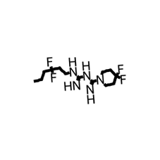 CCCC(F)(F)CCNC(=N)NC(=N)N1CCC(F)(F)CC1